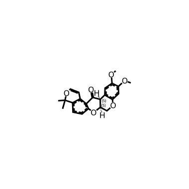 COc1cc2c(cc1OC)[C@@H]1C(=O)c3c(ccc4c3C=COC4(C)C)O[C@@H]1CO2